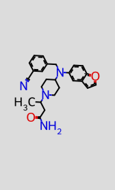 CC(CC(N)=O)N1CCC(N(Cc2cccc(C#N)c2)c2ccc3occc3c2)CC1